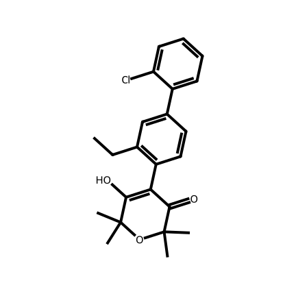 CCc1cc(-c2ccccc2Cl)ccc1C1=C(O)C(C)(C)OC(C)(C)C1=O